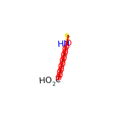 O=C(O)COCCOCCOCCOCCOCCOCCOCCOCCOCCOCCOCCOCCNC(=O)CCCC[C@@H]1CCSS1